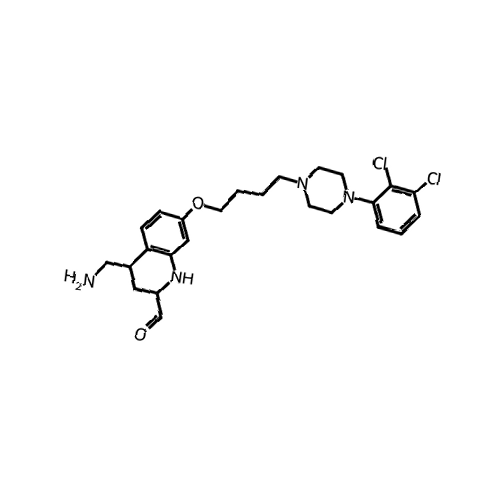 NCC1CC(C=O)Nc2cc(OCCCCN3CCN(c4cccc(Cl)c4Cl)CC3)ccc21